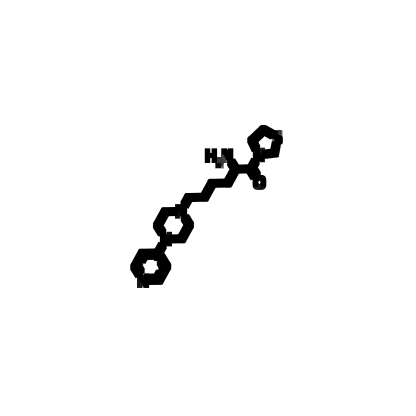 NC(CCCCN1CCN(c2ccncc2)CC1)C(=O)N1CCSC1